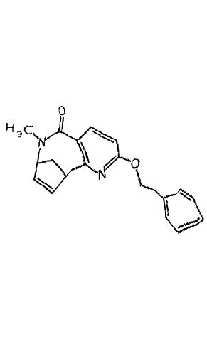 CN1C(=O)c2ccc(OCc3ccccc3)nc2C2C=CC1C2